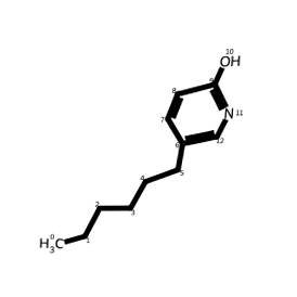 CCCCCCc1ccc(O)nc1